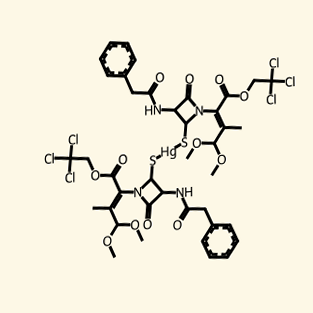 COC(OC)/C(C)=C(/C(=O)OCC(Cl)(Cl)Cl)N1C(=O)C(NC(=O)Cc2ccccc2)C1[S][Hg][S]C1C(NC(=O)Cc2ccccc2)C(=O)N1/C(C(=O)OCC(Cl)(Cl)Cl)=C(/C)C(OC)OC